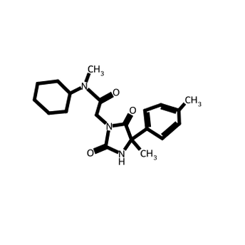 Cc1ccc(C2(C)NC(=O)N(CC(=O)N(C)C3CCCCC3)C2=O)cc1